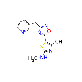 CNc1nc(C)c(-c2nc(Cc3cccnc3)no2)s1